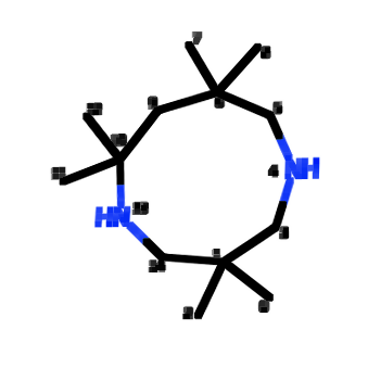 CC1(C)CNCC(C)(C)CC(C)(C)NC1